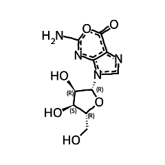 Nc1nc2c(ncn2[C@@H]2O[C@H](CO)[C@@H](O)[C@H]2O)c(=O)o1